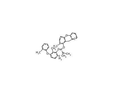 Cc1ccccc1Oc1ccc(C)c(OP(Oc2c(C)ccc3c2Cc2ccccc2O3)N(C)C)c1C